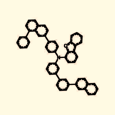 c1ccc(-c2cccc3ccc(-c4ccc(N(c5cccc(-c6cccc(-c7ccc8ccccc8c7)c6)c5)c5cccc6c5oc5ccccc56)cc4)cc23)cc1